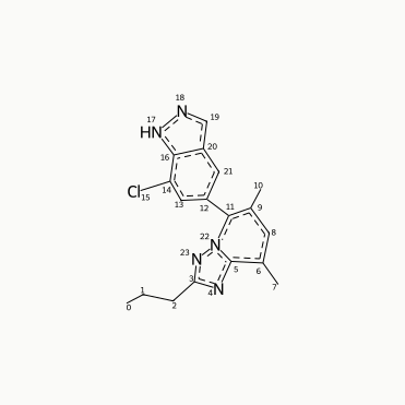 CCCc1nc2c(C)cc(C)c(-c3cc(Cl)c4[nH]ncc4c3)n2n1